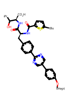 CCCCCCCOc1ccc(-c2cnc(-c3ccc(C[C@H](NC(=O)c4ccc(C(C)(C)C)s4)C(=O)N[C@H](C(=O)O)C(O)C(C)C)cc3)nc2)cc1